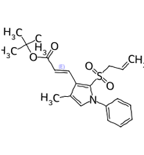 C=CCS(=O)(=O)c1c(/C=C/C(=O)OC(C)(C)C)c(C)cn1-c1ccccc1